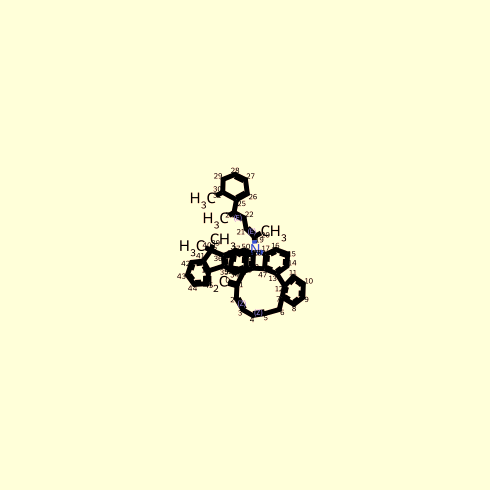 C=C1/C=C\C=C/Cc2ccccc2-c2cccc(N(/C(C)=C/C=C(\C)C3=CC=CCC3C)c3ccc4c(c3)C(C)(C)c3ccccc3-4)c2-c2ccccc21